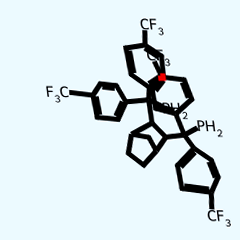 FC(F)(F)c1ccc(C(P)(c2ccc(C(F)(F)F)cc2)C2C3CCC(C3)C2C(P)(c2ccc(C(F)(F)F)cc2)c2ccc(C(F)(F)F)cc2)cc1